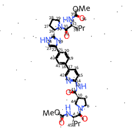 COC(=O)N[C@H](C(=O)N1CC[C@H](C(=O)Nc2ccc(-c3ccc(-c4c[nH]c([C@@H]5CCCN5C(=O)[C@@H](NC(=O)OC)C(C)C)n4)cc3)cn2)C1)C(C)C